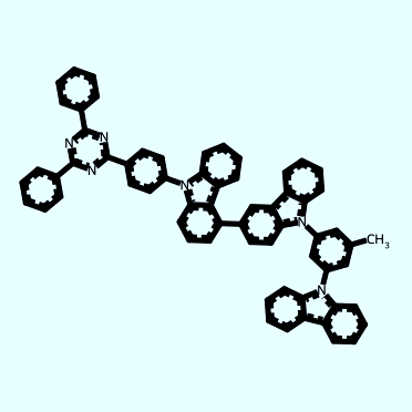 Cc1cc(-n2c3ccccc3c3ccccc32)cc(-n2c3ccccc3c3cc(-c4cccc5c4c4ccccc4n5-c4ccc(-c5nc(-c6ccccc6)nc(-c6ccccc6)n5)cc4)ccc32)c1